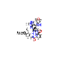 C=Cc1cc(CNC(=O)c2cccc(C(=O)NCc3c(CC)nc4c(cnn4CC)c3NC3CCOCC3)n2)ccc1OC